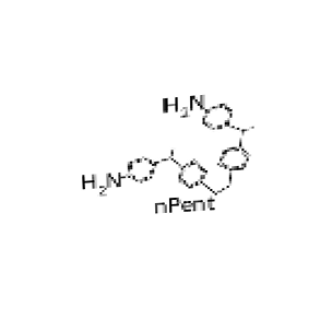 CCCCCC(Cc1ccc(C(C)c2ccc(N)cc2)cc1)c1ccc(C(C)c2ccc(N)cc2)cc1